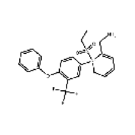 CCS(=O)(=O)[N+]1(c2ccc(Oc3ccccc3)c(C(F)(F)F)c2)CC=CC=C1CN